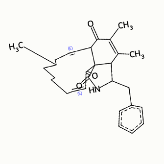 CC1=C(C)C2C(Cc3ccccc3)NC(=O)C23C(=O)/C=C/CCCCC(C)C/C=C/C3C1=O